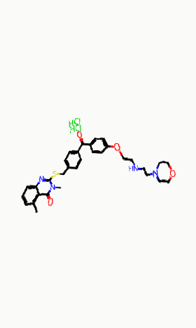 Cc1cccc2nc(SCc3ccc(C(=O)c4ccc(OCCNCCN5CCOCC5)cc4)cc3)n(C)c(=O)c12.Cl.Cl